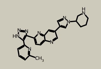 Cc1cccc(-c2[nH]nnc2-c2ccc3ncc(-c4cnn(C5CCCNC5)c4)cc3n2)n1